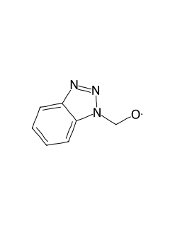 [O]Cn1nnc2ccccc21